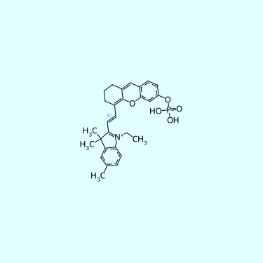 CC[N+]1=C(/C=C/C2=C3Oc4cc(OP(=O)(O)O)ccc4C=C3CCC2)C(C)(C)c2cc(C)ccc21